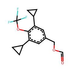 O=COCc1cc(C2CC2)c(OC(F)(F)F)c(C2CC2)c1